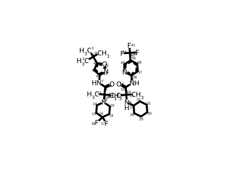 CC(C)(C)c1cc(NC(=O)C(C)(C)N2CCC(F)(F)CC2)no1.CC(C)(NC1CCCCC1)C(=O)Nc1ccc(C(F)(F)F)cn1